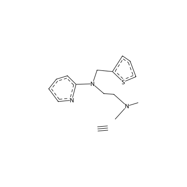 C#C.CN(C)CCN(Cc1cccs1)c1ccccn1